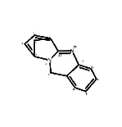 C1=C2CC(=C1)N1Cc3ccccc3N=C21